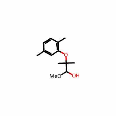 COC(O)C(C)(C)Oc1cc(C)ccc1C